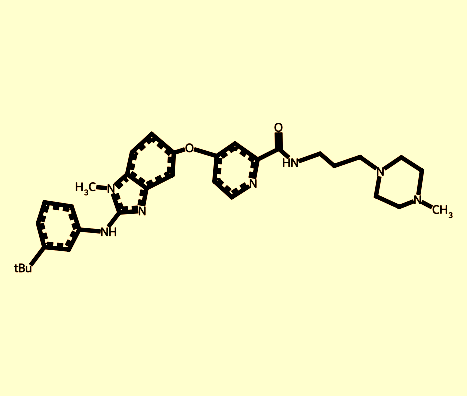 CN1CCN(CCCNC(=O)c2cc(Oc3ccc4c(c3)nc(Nc3cccc(C(C)(C)C)c3)n4C)ccn2)CC1